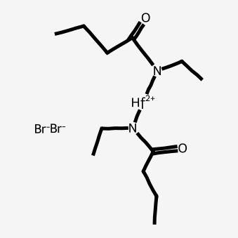 CCCC(=O)[N](CC)[Hf+2][N](CC)C(=O)CCC.[Br-].[Br-]